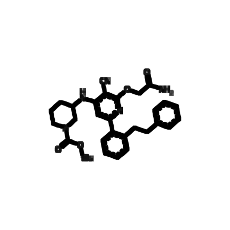 CC(C)(C)OC(=O)N1CCCC(Nc2cc(-c3ccccc3CCc3ccccc3)nc(OCC(N)=O)c2C#N)C1